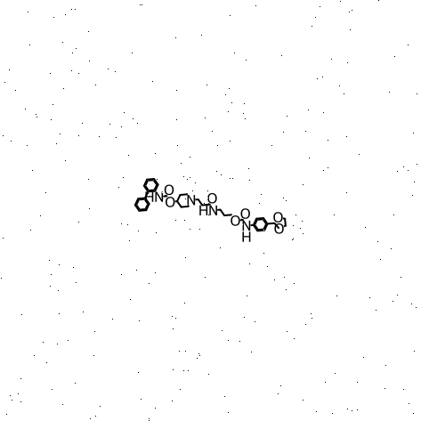 O=C(CCN1CCC(OC(=O)Nc2ccccc2-c2ccccc2)CC1)NCCCOC(=O)Nc1ccc(C2OCCO2)cc1